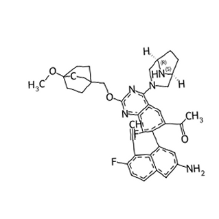 C#Cc1c(F)ccc2cc(N)cc(-c3c(C(C)=O)cc4c(N5C[C@H]6CC[C@@H](C5)N6)nc(OCC56CCC(OC)(CC5)CC6)nc4c3F)c12